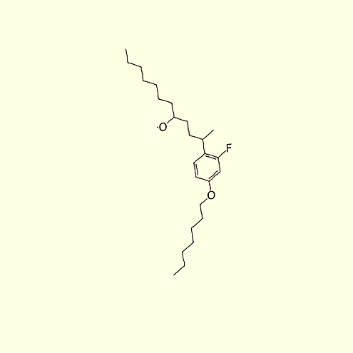 CCCCCCCOc1ccc(C(C)CCC([O])CCCCCCC)c(F)c1